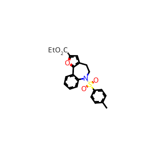 CCOC(=O)c1cc2c(o1)-c1ccccc1N(S(=O)(=O)c1ccc(C)cc1)CC2